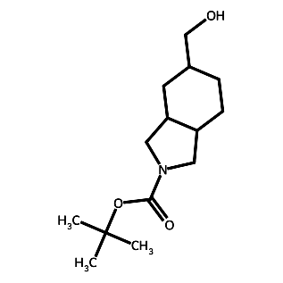 CC(C)(C)OC(=O)N1CC2CCC(CO)CC2C1